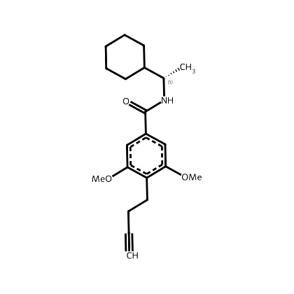 C#CCCc1c(OC)cc(C(=O)N[C@@H](C)C2CCCCC2)cc1OC